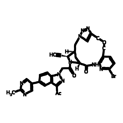 C#C[C@@H]1[C@@H]2C[C@@H](C(=O)Nc3nc(Br)ccc3COCc3cn(nn3)C2)N1C(=O)Cn1nc(C(C)=O)c2cc(-c3cnc(C)nc3)ccc21